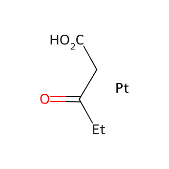 CCC(=O)CC(=O)O.[Pt]